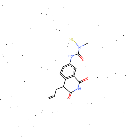 C=CCC1C(=O)NC(=O)c2cc(NC(=O)N(C)S)ccc21